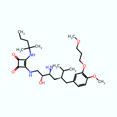 CCCC(C)(C)Nc1c(NC[C@H](O)[C@@H](N)C[C@H](Cc2ccc(OC)c(OCCCOC)c2)C(C)C)c(=O)c1=O